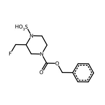 O=C(OCc1ccccc1)N1CCN(S(=O)(=O)O)C(CF)C1